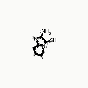 Nc1nc2ccccn2c1S